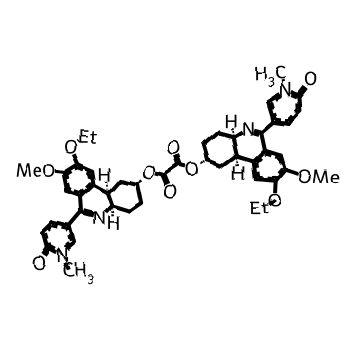 CCOc1cc2c(cc1OC)C(c1ccc(=O)n(C)c1)=N[C@@H]1CC[C@@H](OC(=O)C(=O)O[C@@H]3CC[C@H]4N=C(c5ccc(=O)n(C)c5)c5cc(OC)c(OCC)cc5[C@H]4C3)C[C@H]21